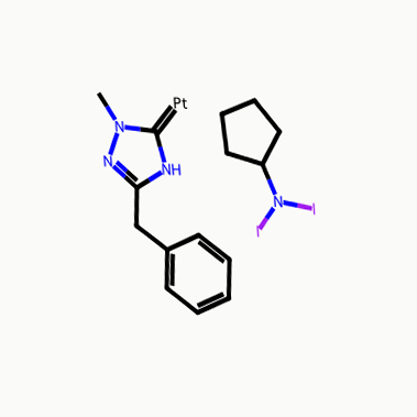 Cn1nc(Cc2ccccc2)[nH][c]1=[Pt].IN(I)C1CCCC1